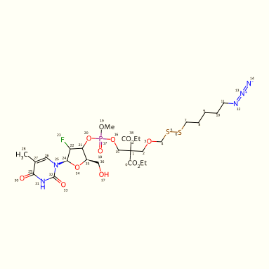 CCOC(=O)C(COCSSCCCCCN=[N+]=[N-])(COP(=O)(OC)OC1C(F)[C@H](n2cc(C)c(=O)[nH]c2=O)O[C@@H]1CO)C(=O)OCC